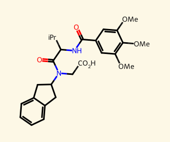 COc1cc(C(=O)NC(C(=O)N(CC(=O)O)C2Cc3ccccc3C2)C(C)C)cc(OC)c1OC